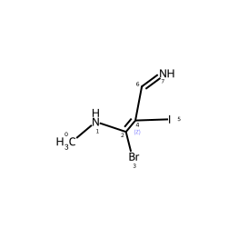 CN/C(Br)=C(/I)C=N